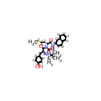 CSCC[C@@H](C(=O)Nc1ccc2ccccc2c1)N(C(=O)OC(C)(C)C)C(=O)[C@@H](N)Cc1ccc(O)cc1